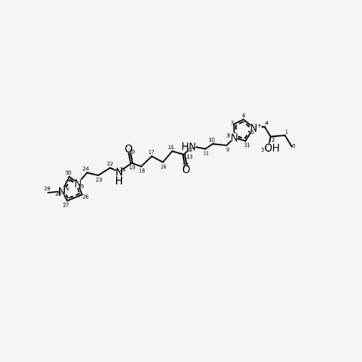 CCC(O)C[n+]1ccn(CCCNC(=O)CCCCC(=O)NCCCn2cc[n+](C)c2)c1